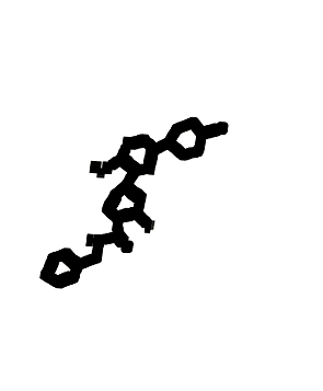 Nc1ncc(C2CCC(=O)CC2)nc1-c1ccc(C(=O)NCc2ccccc2)c(F)c1